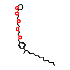 CCCCCCCCCCCCC(C)c1ccc(COCCOCCOCCOC2CCCCO2)cc1